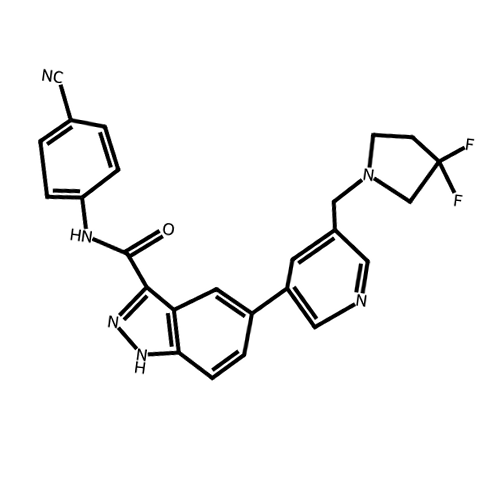 N#Cc1ccc(NC(=O)c2n[nH]c3ccc(-c4cncc(CN5CCC(F)(F)C5)c4)cc23)cc1